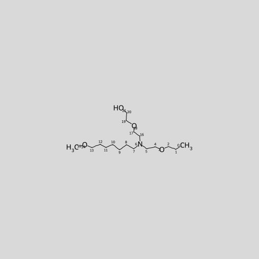 CCCOCCN(CCCCCCCOC)CCOCCO